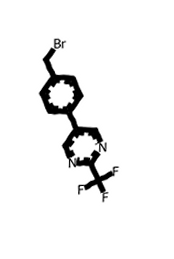 FC(F)(F)c1ncc(-c2ccc(CBr)cc2)cn1